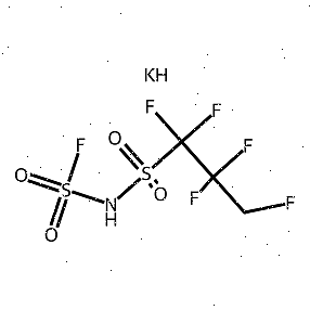 O=S(=O)(F)NS(=O)(=O)C(F)(F)C(F)(F)CF.[KH]